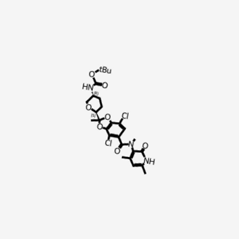 Cc1cc(C)c(N(C)C(=O)c2cc(Cl)c3c(c2Cl)OC(C)([C@@H]2CC[C@@H](NC(=O)OC(C)(C)C)CO2)O3)c(=O)[nH]1